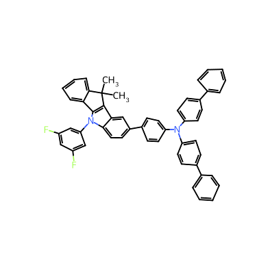 CC1(C)c2ccccc2-c2c1c1cc(-c3ccc(N(c4ccc(-c5ccccc5)cc4)c4ccc(-c5ccccc5)cc4)cc3)ccc1n2-c1cc(F)cc(F)c1